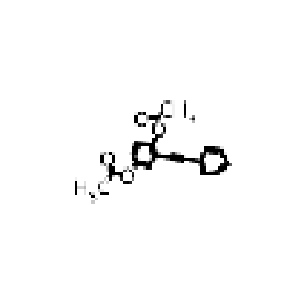 CC(=O)Oc1ccc(OC(C)=O)c(C#Cc2ccccc2)c1